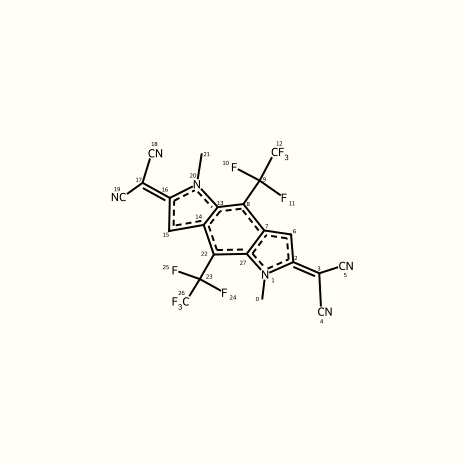 Cn1c(=C(C#N)C#N)cc2c(C(F)(F)C(F)(F)F)c3c(cc(=C(C#N)C#N)n3C)c(C(F)(F)C(F)(F)F)c21